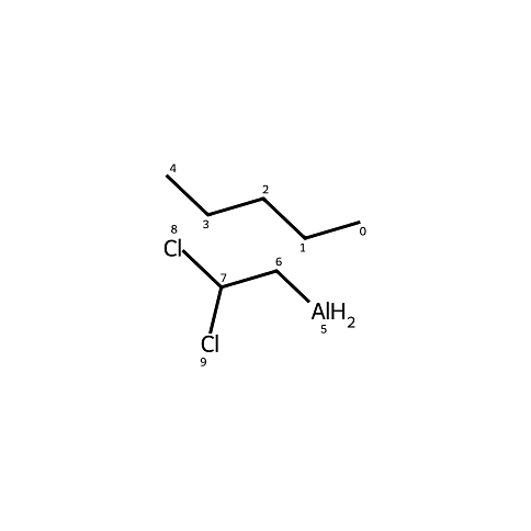 CCCCC.[AlH2][CH2]C(Cl)Cl